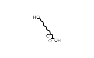 [O]C(CCCCCCCO)CC(=O)O